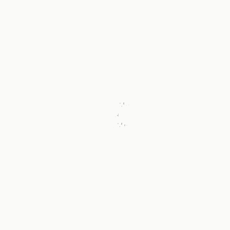 CO[Si](OC)(C(C)(C)C1CCCCC1)C(C)(C)C1CCCCC1